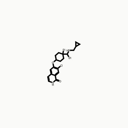 CCC(NCC1CC1)C1(CC)CCC(Oc2cc3cc[nH]c(=O)c3cc2Cl)CC1